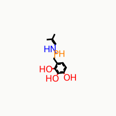 CC(C)=CNPCc1ccc(O)c(O)c1O